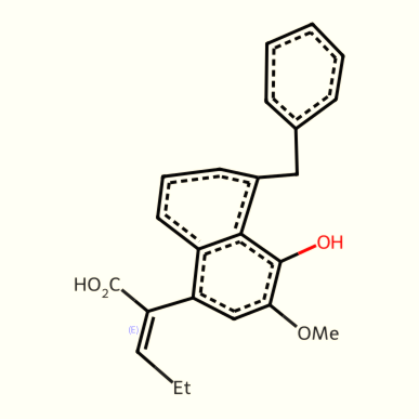 CC/C=C(/C(=O)O)c1cc(OC)c(O)c2c(Cc3ccccc3)cccc12